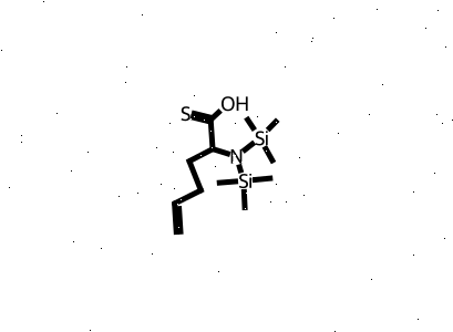 C=CCCC(C(O)=S)N([Si](C)(C)C)[Si](C)(C)C